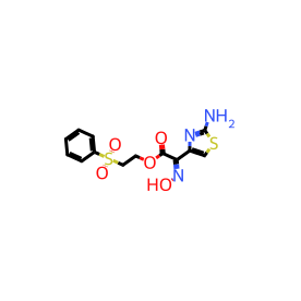 Nc1nc(C(=NO)C(=O)OCCS(=O)(=O)c2ccccc2)cs1